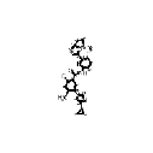 Cc1cc(F)c(C(=O)Nc2cccc(-c3nnc4n3[C@@H](CF)CC4)n2)cc1-n1cnc(C2CC2)c1